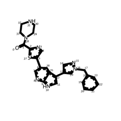 O=C(c1ncc(-c2cnc3[nH]cc(-c4cnn(Cc5ccccc5)c4)c3c2)s1)N1CCNCC1